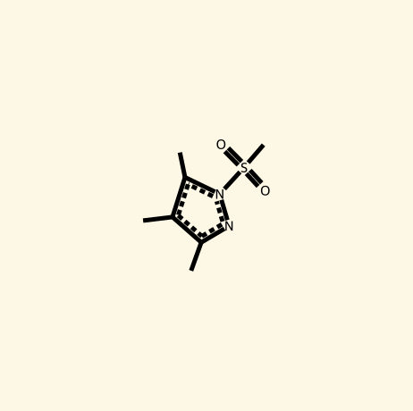 Cc1nn(S(C)(=O)=O)c(C)c1C